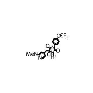 CNc1cc(CC2(C)NC(=O)N(c3ccc(OC(F)(F)F)cc3)C2=O)ccn1